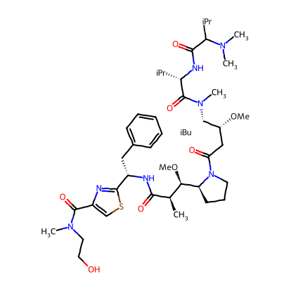 CC[C@H](C)[C@@H]([C@@H](CC(=O)N1CCC[C@H]1[C@H](OC)[C@@H](C)C(=O)N[C@@H](Cc1ccccc1)c1nc(C(=O)N(C)CCO)cs1)OC)N(C)C(=O)[C@@H](NC(=O)C(C(C)C)N(C)C)C(C)C